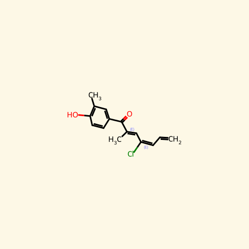 C=C/C=C(Cl)\C=C(/C)C(=O)c1ccc(O)c(C)c1